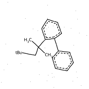 CC(C)(C)CC(C)(C)c1c[c]ccc1-c1ccccc1